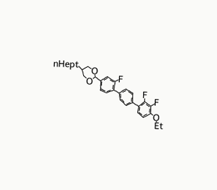 CCCCCCCC1COC(c2ccc(-c3ccc(-c4ccc(OCC)c(F)c4F)cc3)c(F)c2)OC1